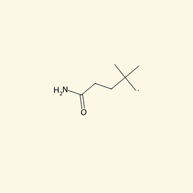 [CH2]C(C)(C)CCC(N)=O